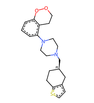 c1cc2c(c(N3CCN(C[C@@H]4CCc5sccc5C4)CC3)c1)CCOO2